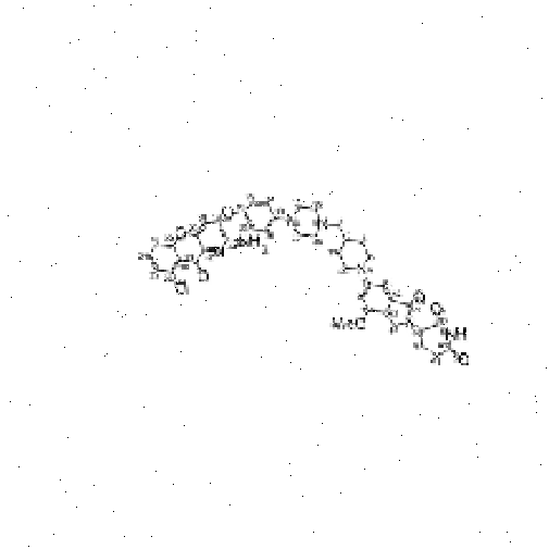 COc1cc(N2CCC(CN3CCN(c4ccc(Oc5cc6oc7cccc(Cl)c7c(=O)c6nc5N)cc4)CC3)CC2)cc2c1CN(C1CCC(=O)NC1=O)C2=O